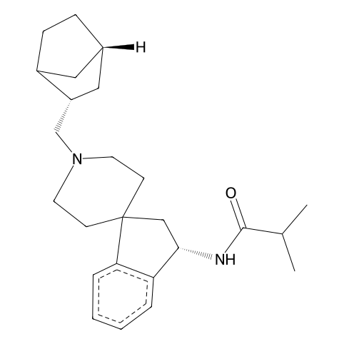 CC(C)C(=O)N[C@H]1CC2(CCN(C[C@H]3C[C@H]4CCC3C4)CC2)c2ccccc21